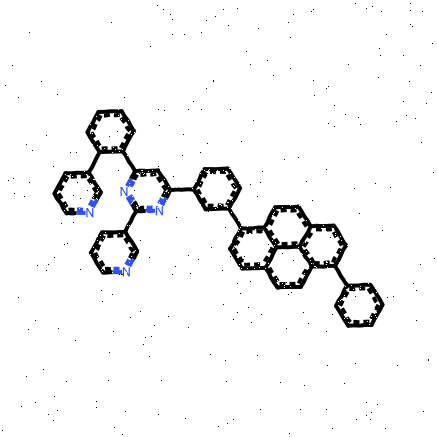 c1ccc(-c2ccc3ccc4c(-c5cccc(-c6cc(-c7ccccc7-c7cccnc7)nc(-c7cccnc7)n6)c5)ccc5ccc2c3c54)cc1